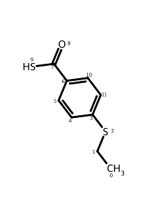 CCSc1ccc(C(=O)S)cc1